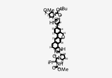 COC[C@H]1C[C@@H](c2ncc(-c3ccc4c(c3)COc3cc5c(cc3-4)CCc3nc([C@@H]4CC[C@H](C)N4C(=O)[C@@H](NC(=O)OC)C(C)C)[nH]c3-5)[nH]2)N(C(=O)OC(C)(C)C)C1